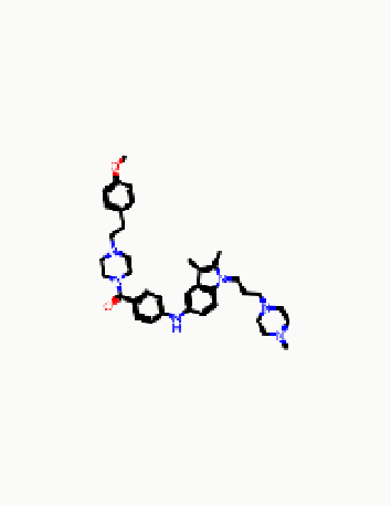 COc1ccc(CCN2CCN(C(=O)c3ccc(Nc4ccc5c(c4)c(C)c(C)n5CCCN4CCN(C)CC4)cc3)CC2)cc1